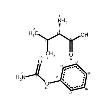 CC(C)[C@H](N)C(=O)O.NC(=O)Oc1ccccc1